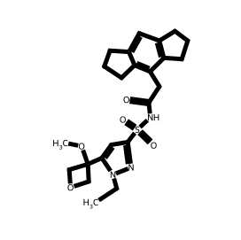 CCn1nc(S(=O)(=O)NC(=O)Cc2c3c(cc4c2CCC4)CCC3)cc1C1(OC)COC1